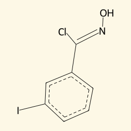 ON=C(Cl)c1cccc(I)c1